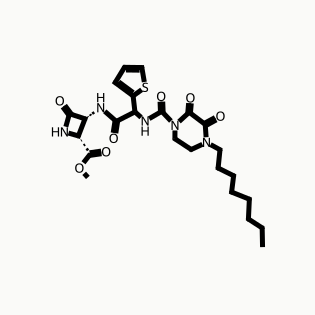 CCCCCCCCN1CCN(C(=O)NC(C(=O)N[C@H]2C(=O)N[C@H]2C(=O)OC)c2cccs2)C(=O)C1=O